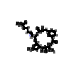 C=C[C@@H]1NC(=O)C(=C)NC(=O)c2cccc(n2)CNC(=O)C[C@@H](/C=C/CCSC(C)=O)OC1=O